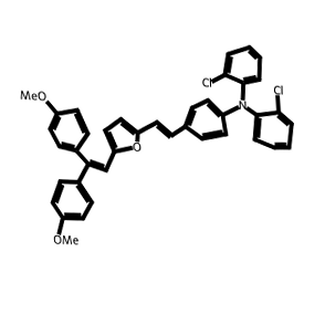 COc1ccc(C(=Cc2ccc(C=Cc3ccc(N(c4ccccc4Cl)c4ccccc4Cl)cc3)o2)c2ccc(OC)cc2)cc1